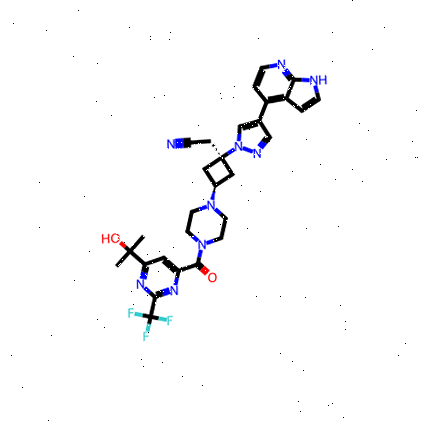 CC(C)(O)c1cc(C(=O)N2CCN([C@H]3C[C@@](CC#N)(n4cc(-c5ccnc6[nH]ccc56)cn4)C3)CC2)nc(C(F)(F)F)n1